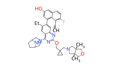 C#Cc1c(F)ccc2cc(O)cc(-c3cc4nc(OCC5(CN6C[C@]7(C)COC[C@]7(C)C6)CC5)nc(N5CC6CCC(C5)N6)c4cc3CC)c12